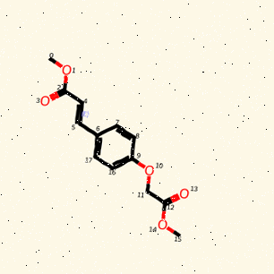 COC(=O)/C=C/c1ccc(OCC(=O)OC)cc1